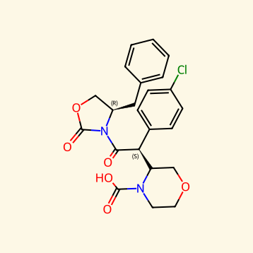 O=C(O)N1CCOCC1[C@@H](C(=O)N1C(=O)OC[C@H]1Cc1ccccc1)c1ccc(Cl)cc1